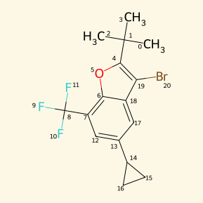 CC(C)(C)c1oc2c(C(F)(F)F)cc(C3CC3)cc2c1Br